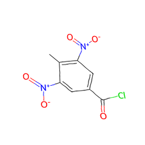 Cc1c([N+](=O)[O-])cc(C(=O)Cl)cc1[N+](=O)[O-]